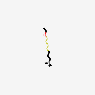 CCOSSSSCCC[SiH](C)C